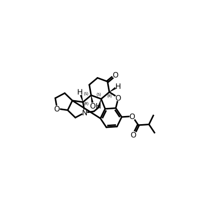 CC(C)C(=O)Oc1ccc2c3c1O[C@H]1C(=O)CC[C@@]4(O)[C@@H]5N(CC[C@]314)CC1OCCC215